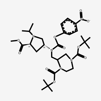 COC(=O)[C@@H]1C[C@@H](N(CC2CN(C(=O)OC(C)(C)C)CCN2C(=O)OC(C)(C)C)C(=O)Oc2ccc([N+](=O)[O-])cc2)CN1C(C)C